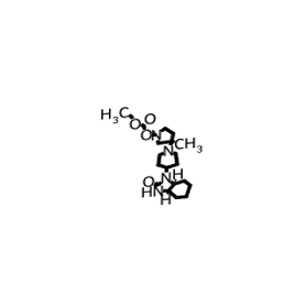 CCOC(=O)ON1CCC(C)(N2CCC(N3C(=O)N[C@H]4CCCC[C@@H]43)CC2)C1